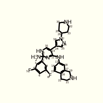 NC1(c2cc(F)cc(F)c2)N=C(Nc2ccc3c(c2)CNCC3)C(c2cnn(C3CCNCC3)c2)=CN1